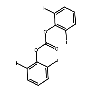 O=C(Oc1c(I)cccc1I)Oc1c(I)cccc1I